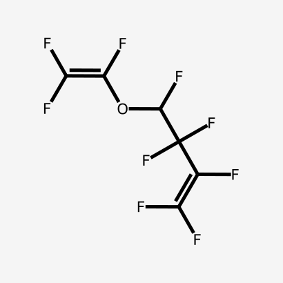 FC(F)=C(F)OC(F)C(F)(F)C(F)=C(F)F